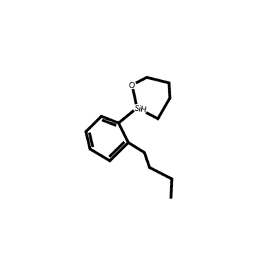 CCCCc1ccccc1[SiH]1CCCCO1